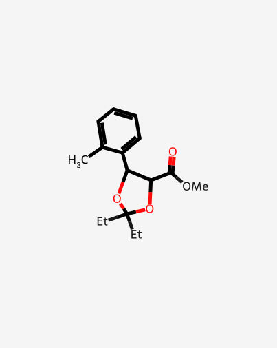 CCC1(CC)OC(C(=O)OC)C(c2ccccc2C)O1